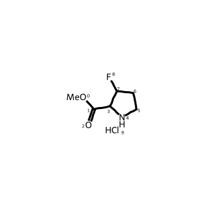 COC(=O)C1NCCC1F.Cl